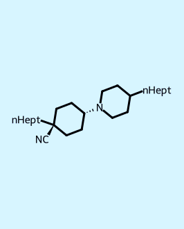 CCCCCCCC1CCN([C@H]2CC[C@@](C#N)(CCCCCCC)CC2)CC1